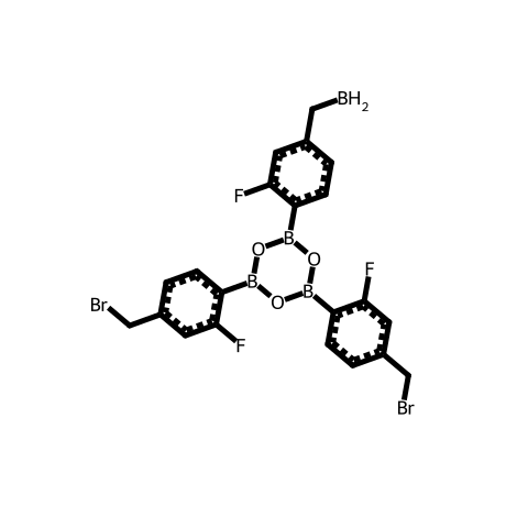 BCc1ccc(B2OB(c3ccc(CBr)cc3F)OB(c3ccc(CBr)cc3F)O2)c(F)c1